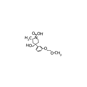 COCCOc1cccc([C@@]2(CO)CCN(C(=O)O)[C@@H](C)C2)c1